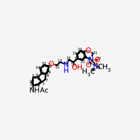 CC(=O)Nc1ccc2c(c1)Cc1cc(OCCNC[C@H](O)c3ccc4c(c3)N(S(=O)(=O)N(C)C)CO4)ccc1-2